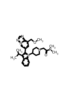 COCc1cc(-c2c(C(C)C)c3ccccc3n2C2CCN(CC(=O)N(C)C)CC2)cn2ncnc12